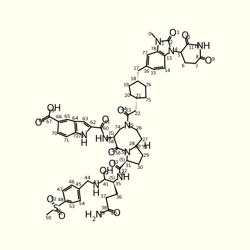 Cn1c(=O)n(C2CCC(=O)NC2=O)c2ccc(C[C@H]3CC[C@@H](CC(=O)N4CC[C@H]5CC[C@@H](C(=O)N[C@@H](CCC(N)=O)C(O)NCc6ccc(S(C)(=O)=O)cc6)N5C(=O)[C@@H](NC(=O)c5cc6cc(C(=O)O)ccc6[nH]5)C4)CC3)cc21